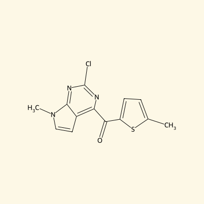 Cc1ccc(C(=O)c2nc(Cl)nc3c2ccn3C)s1